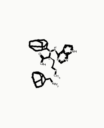 CSCC[C@@H](C(=O)O)N(Nc1ncnc2[nH]ccc12)C1C2CC3CC(C2)CC1C3.NCC1C2CC3CC(C2)CC1C3